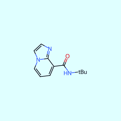 CC(C)(C)NC(=O)c1cccn2ccnc12